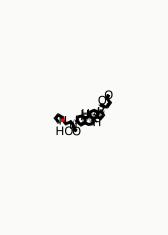 C[C@]12CC[C@H](N(CCN3CCCC3)C(=O)O)C=C1CC[C@@H]1[C@@H]2CC[C@]2(C)[C@@H](c3ccc(=O)oc3)CC[C@]12O